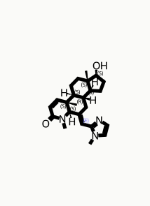 CN1C(=O)C=C[C@]2(C)[C@H]3CC[C@]4(C)[C@@H](O)CC[C@H]4[C@@H]3C/C(=C\c3nccn3C)[C@@H]12